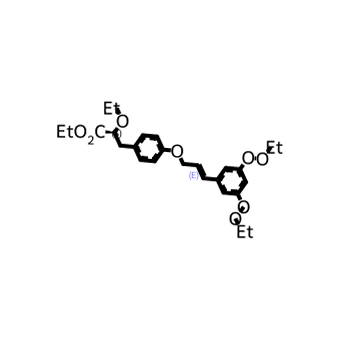 CCOOc1cc(/C=C/COc2ccc(C[C@H](OCC)C(=O)OCC)cc2)cc(OOCC)c1